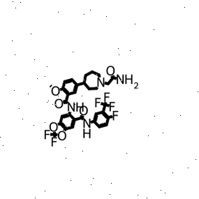 COc1ccc(C2CCCN(CC(N)=O)CC2)cc1C(=O)Nc1cc2c(cc1C(=O)Nc1ccc(F)c(C(F)(F)F)c1)OC(F)(F)O2